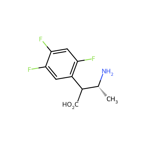 C[C@@H](N)C(C(=O)O)c1cc(F)c(F)cc1F